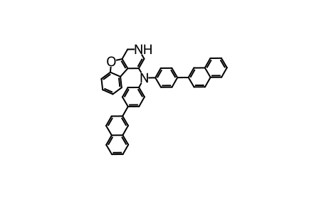 C1=C(N(c2ccc(-c3ccc4ccccc4c3)cc2)c2ccc(-c3ccc4ccccc4c3)cc2)c2c(oc3ccccc23)CN1